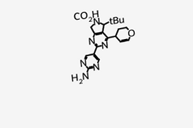 CC(C)(C)C1c2c(nc(-c3cnc(N)nc3)nc2C2C=COCC2)CN1C(=O)O